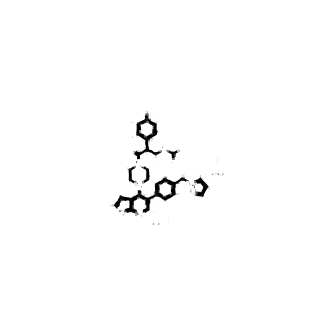 CC(C)NCC(C(=O)N1CCN(c2c(-c3ccc(Cn4cccn4)cc3)cnc3[nH]ccc23)CC1)c1ccc(Cl)cc1.Cl.Cl.Cl